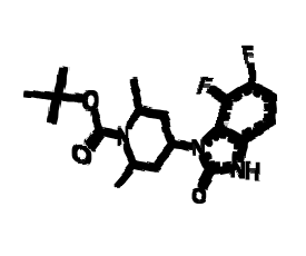 CC1CC(n2c(=O)[nH]c3ccc(F)c(F)c32)CC(C)N1C(=O)OC(C)(C)C